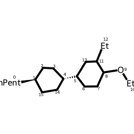 CCCCC[C@H]1CC[C@H](C2CCC(OCC)C(CC)C2)CC1